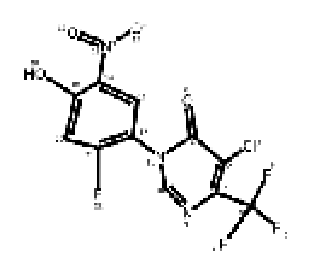 O=c1c(Cl)c(C(F)(F)F)ncn1-c1cc([N+](=O)[O-])c(O)cc1F